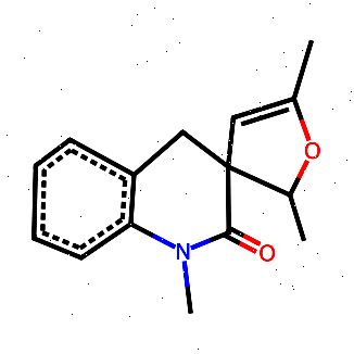 CC1=CC2(Cc3ccccc3N(C)C2=O)C(C)O1